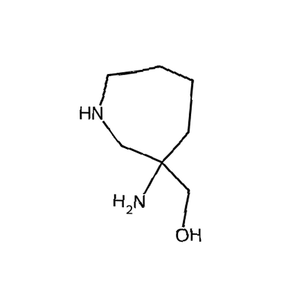 NC1(CO)CCCCNC1